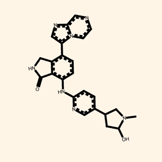 CN1CC(c2ccc(Nc3ccc(-c4cnc5cnccn45)c4c3C(=O)NC4)nc2)CC1O